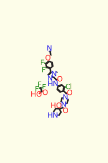 Cn1c(-c2ccc(OCC#N)c(F)c2F)cnc1C(=O)Nc1ccc(C(=O)N2CCN(C(=O)C3(O)CCNCC3)CC2)c(Cl)c1.O=C(O)C(F)(F)F